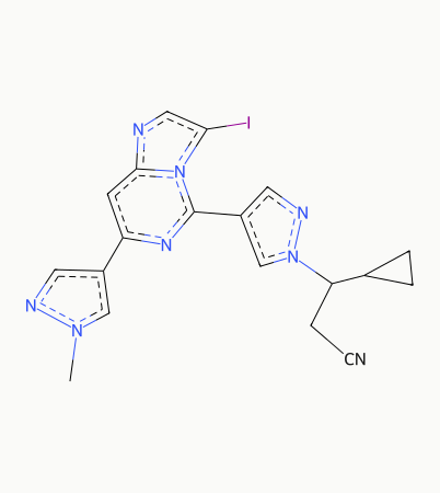 Cn1cc(-c2cc3ncc(I)n3c(-c3cnn(C(CC#N)C4CC4)c3)n2)cn1